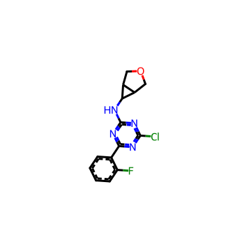 Fc1ccccc1-c1nc(Cl)nc(NC2C3COCC32)n1